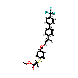 CCOC(=O)C(C)(C)Sc1ccc(OC/C=C(\C)c2ccc(-c3ccc(C(F)(F)F)cc3)cc2)cc1